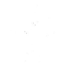 C1=CCC(C2=NC(N3c4ccccc4C4C=CC5=C(SC6C=CC=CC56)C43)=CC(C3C=CCCC3)C2)C=C1